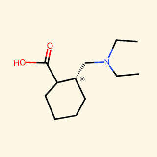 CCN(CC)C[C@@H]1CCCCC1C(=O)O